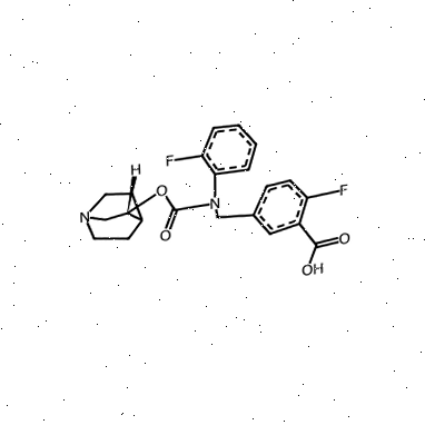 O=C(O)c1cc(CN(C(=O)O[C@H]2CN3CCC2CC3)c2ccccc2F)ccc1F